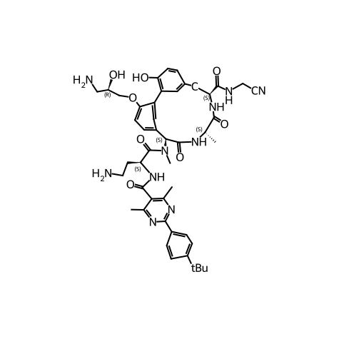 Cc1nc(-c2ccc(C(C)(C)C)cc2)nc(C)c1C(=O)N[C@@H](CCN)C(=O)N(C)[C@@H]1C(=O)N[C@@H](C)C(=O)N[C@H](C(=O)NCC#N)Cc2ccc(O)c(c2)-c2cc1ccc2OC[C@H](O)CN